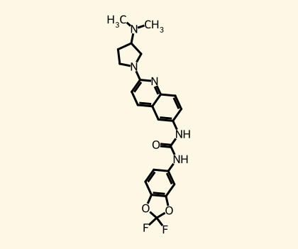 CN(C)C1CCN(c2ccc3cc(NC(=O)Nc4ccc5c(c4)OC(F)(F)O5)ccc3n2)C1